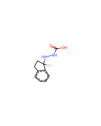 O=C(O)NNC1(F)CCc2ccccc21